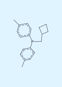 Cc1ccc(P(CC2CCC2)c2ccc(C)cc2)cc1